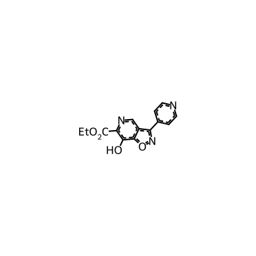 CCOC(=O)c1ncc2c(-c3ccncc3)noc2c1O